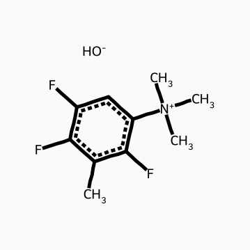 Cc1c(F)c(F)cc([N+](C)(C)C)c1F.[OH-]